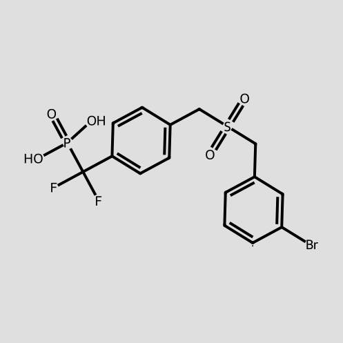 O=P(O)(O)C(F)(F)c1ccc(CS(=O)(=O)Cc2cc[c]c(Br)c2)cc1